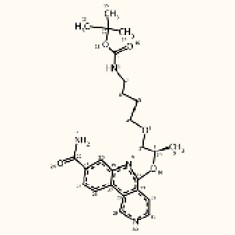 C[C@H](COCCCCNC(=O)OC(C)(C)C)Oc1nc2cc(C(N)=O)ccc2c2cnccc12